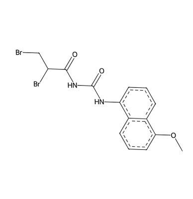 COc1cccc2c(NC(=O)NC(=O)C(Br)CBr)cccc12